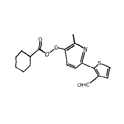 Cc1nc(-c2sccc2C=O)ccc1OOC(=O)C1CCCCC1